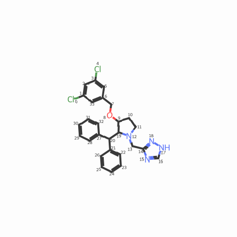 Clc1cc(Cl)cc(COC2CCN(Cc3nc[nH]n3)C2C(c2ccccc2)c2ccccc2)c1